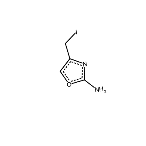 Nc1nc(CI)co1